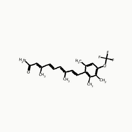 CC(/C=C/c1c(C)cc(OC(F)(F)F)c(C)c1C)=C\C=C\C(C)=C\C(N)=O